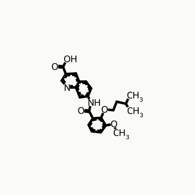 COc1cccc(C(=O)Nc2ccc3cc(C(=O)O)cnc3c2)c1OCCC(C)C